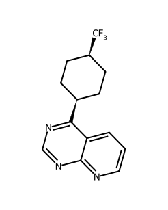 FC(F)(F)[C@H]1CC[C@@H](c2ncnc3ncccc32)CC1